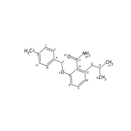 Cc1ccc(COc2cccc(CC(C)C)c2C(N)=O)cc1